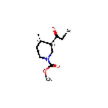 CC(=O)CC(=O)[C@H]1CN(C(=O)OC(C)(C)C)CC[C@@H]1C